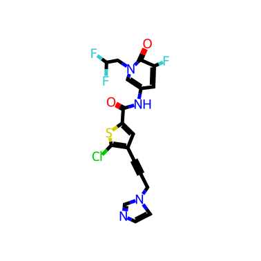 O=C(Nc1cc(F)c(=O)n(CC(F)F)c1)c1cc(C#CCn2ccnc2)c(Cl)s1